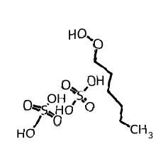 CCCCCCOO.O=S(=O)(O)O.O=S(=O)(O)O